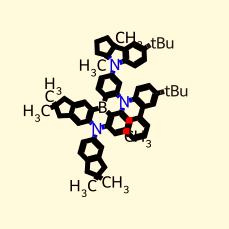 Cc1cc2c3c(c1)N(c1ccc(C(C)(C)C)cc1-c1ccccc1)c1cc(N4c5ccc(C(C)(C)C)cc5C5(C)CCCC45C)ccc1B3c1cc3c(cc1N2c1ccc2c(c1)CC(C)(C)C2)CC(C)(C)C3